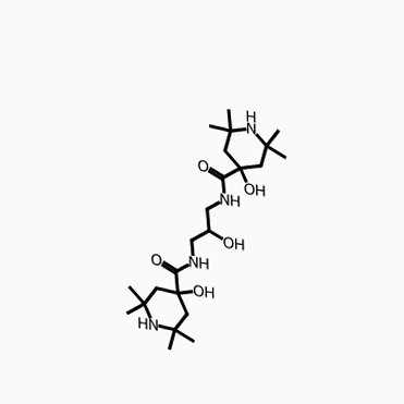 CC1(C)CC(O)(C(=O)NCC(O)CNC(=O)C2(O)CC(C)(C)NC(C)(C)C2)CC(C)(C)N1